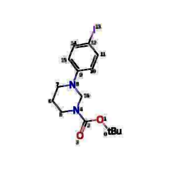 CC(C)(C)OC(=O)N1CCCN(c2ccc(I)cc2)C1